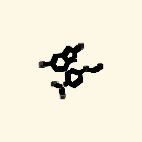 O=C1C=c2cc(Cl)ccc2=N1.O=COc1ccc([N+](=O)[O-])cc1